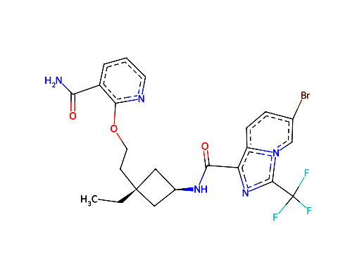 CC[C@]1(CCOc2ncccc2C(N)=O)C[C@H](NC(=O)c2nc(C(F)(F)F)n3cc(Br)ccc23)C1